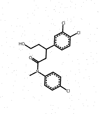 CN(C(=O)CC(CCO)c1ccc(Cl)c(Cl)c1)c1ccc(Cl)cc1